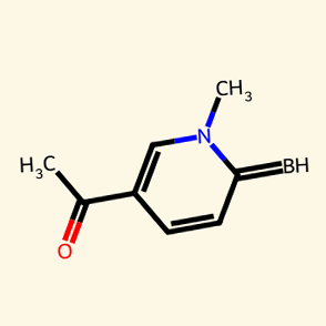 B=C1C=CC(C(C)=O)=CN1C